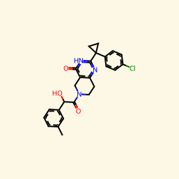 Cc1cccc(C(O)C(=O)N2CCc3nc(C4(c5ccc(Cl)cc5)CC4)[nH]c(=O)c3C2)c1